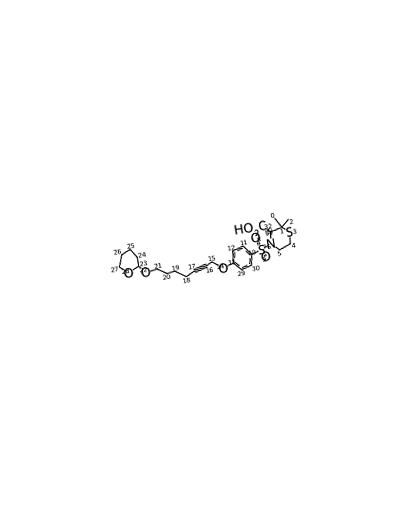 CC1(C)SCCN(S(=O)(=O)c2ccc(OCC#CCCCCOC3CCCCO3)cc2)[C@H]1C(=O)O